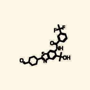 CC(C)(O)c1cc2nc(C3CCC(C=O)CC3)sc2cc1NC(=O)c1cccc(C(C)(F)F)c1